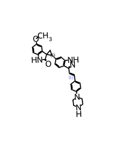 COc1ccc2c(c1)C1(C[C@H]1c1ccc3c(/C=C/c4ccc(N5CCNCC5)cc4)n[nH]c3c1)C(=O)N2